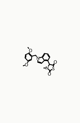 COc1ccc(OC)c(Cn2ccc3c(C4C(=O)SC(=O)N4C)cccc32)c1